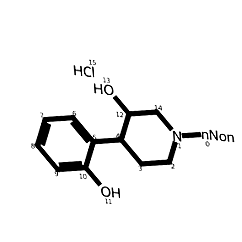 CCCCCCCCCN1CCC(c2ccccc2O)C(O)C1.Cl